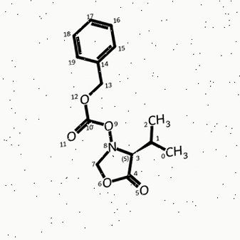 CC(C)[C@H]1C(=O)OCN1OC(=O)OCc1ccccc1